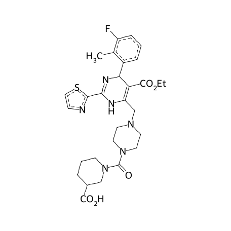 CCOC(=O)C1=C(CN2CCN(C(=O)N3CCCC(C(=O)O)C3)CC2)NC(c2nccs2)=NC1c1cccc(F)c1C